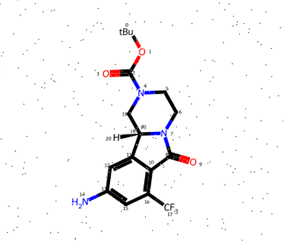 CC(C)(C)OC(=O)N1CCN2C(=O)c3c(cc(N)cc3C(F)(F)F)[C@@H]2C1